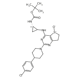 CC(C)(C)OC(=O)N[C@H]1CC1Nc1nc(N2CCC(c3ccc(Cl)cc3)CC2)nc2c1[S+]([O-])CC2